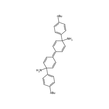 CCCCc1ccc(C2(N)C=CC(=C3C=CC(N)(c4ccc(CCCC)cc4)C=C3)C=C2)cc1